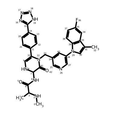 CNC(C)C(=O)NC1NC=C(c2ccc(-c3nnn[nH]3)cc2)N(Cc2cncc(-n3cc(C)c4cc(F)ccc43)c2)C1=O